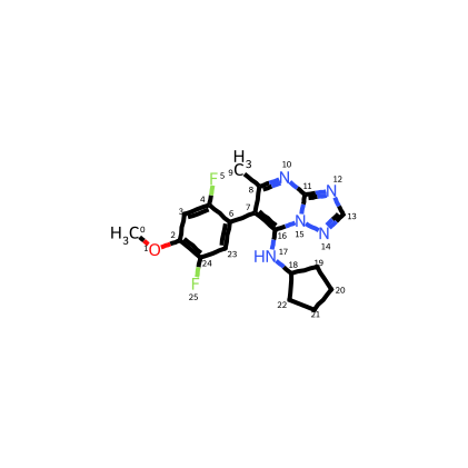 COc1cc(F)c(-c2c(C)nc3ncnn3c2NC2CCCC2)cc1F